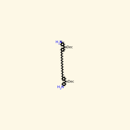 CCCCCCCCCCC(c1ccc(N)cc1)c1ccc(CCCCCCCCCCCCCCCCCCCc2ccc(C(CCCCCCCCCC)c3ccc(N)cc3)cc2)cc1